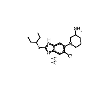 CCC(CC)Sc1nc2cc(Cl)c(N3CCCC(N)C3)cc2[nH]1.Cl.Cl